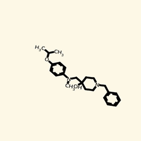 CC(C)Oc1ccc(N(C)CC2(O)CCN(Cc3ccccc3)CC2)cc1